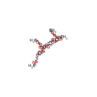 C=CC(=O)OCCCCOc1ccc(C(=O)Oc2ccc(OC(=O)C3CCC(C(=O)Oc4ccc(OC(C)=O)c(COCCOCC)c4)CC3)cc2C(=O)OCCOCC)cc1